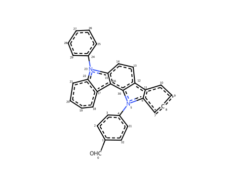 O=Cc1ccc(-n2c3ccccc3c3ccc4c(c5ccccc5n4-c4ccccc4)c32)cc1